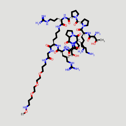 CCONCCCOCCOCCOCCCNC(=O)CNC(=O)[C@@H](CCCCNC(=O)[C@H](CCCNC(=N)N)NC(=O)[C@@H]1CCCN1C(=O)[C@@H]1CCCN1C(=O)[C@H](CCCCN)NC(=O)[C@@H](N)[C@@H](C)O)NC(=O)[C@H](CCCNC(=N)N)NC(=O)C1CCCN1C(=O)C1CCCN1C(=O)[C@H](CCCCN)NC(=O)[C@@H](N)[C@@H](C)O